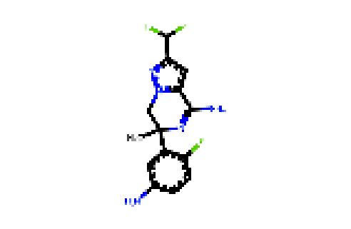 CC1(c2cc(N)ccc2F)Cn2nc(C(F)F)cc2C(N)=N1